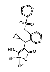 CCCC1(CCC)OC(=O)C(C(c2ccccc2CS(=O)(=O)c2ccccc2)C2CC2)=C1O